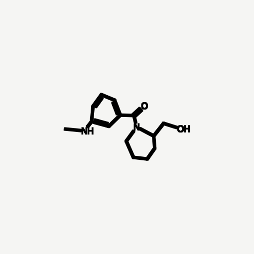 CNc1cccc(C(=O)N2CCCCC2CO)c1